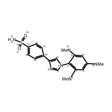 CNc1cc(NC)c(-n2cnc(-c3ccc(S(N)(=O)=O)cc3)c2)c(NC)c1